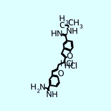 CC(C)NC(=N)c1ccc2oc(CCc3cc4cc(C(=N)N)ccc4o3)cc2c1.Cl.Cl